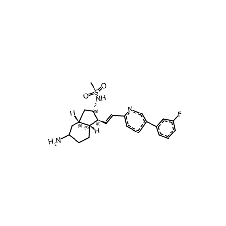 CS(=O)(=O)N[C@H]1C[C@H]2CC(N)CC[C@H]2[C@@H]1C=Cc1ccc(-c2cccc(F)c2)cn1